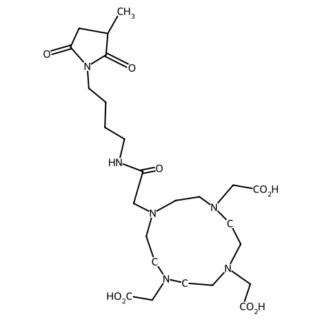 CC1CC(=O)N(CCCCNC(=O)CN2CCN(CC(=O)O)CCN(CC(=O)O)CCN(CC(=O)O)CC2)C1=O